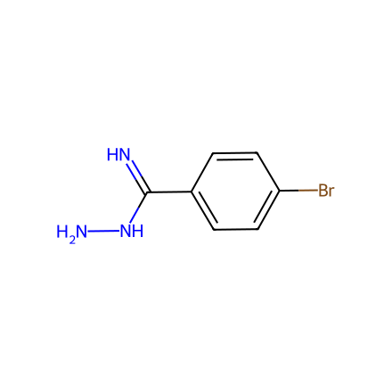 N=C(NN)c1ccc(Br)cc1